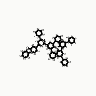 c1ccc(-c2ccc3c(c2)c2cc(-c4ccccc4)ccc2n3-c2c(-c3ccccc3)cc(-c3nc(-c4ccccc4)cc(-c4ccc5c(c4)oc4ccccc45)n3)cc2-c2ccccc2)cc1